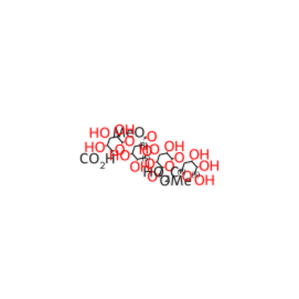 COC(=O)C1OC(OC2C(O)C(O)[C@@H](O)O[C@H]2C(=O)O)C(O)C(O)C1O[C@H]1O[C@@H](C(=O)OC)C(OC2OC(C(=O)O)C(O)C(O)C2O)C(O)C1O